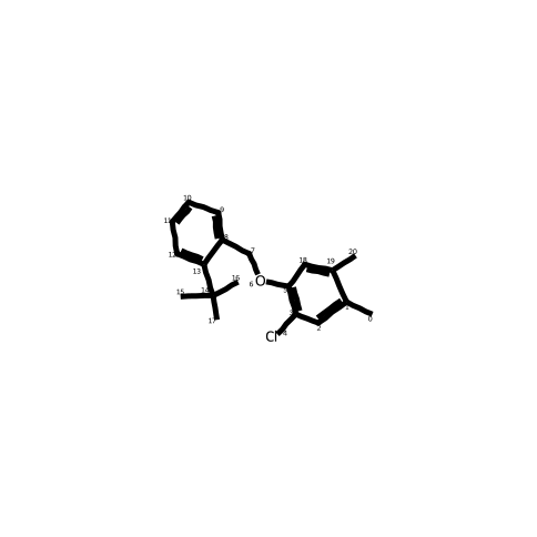 Cc1cc(Cl)c(OCc2ccccc2C(C)(C)C)cc1C